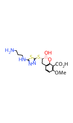 COc1ccc2c(c1C(=O)O)OB(O)[C@@H](Sc1nnc(NCCCN)s1)C2